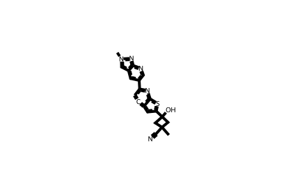 Cn1cc2cc(-c3ccc4cc(C5(O)CC(C)(C#N)C5)sc4n3)cnc2n1